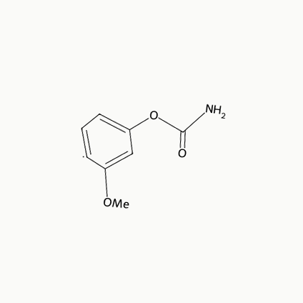 COc1[c]ccc(OC(N)=O)c1